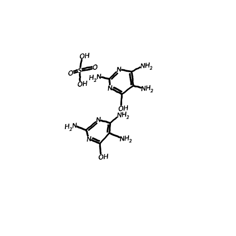 Nc1nc(N)c(N)c(O)n1.Nc1nc(N)c(N)c(O)n1.O=S(=O)(O)O